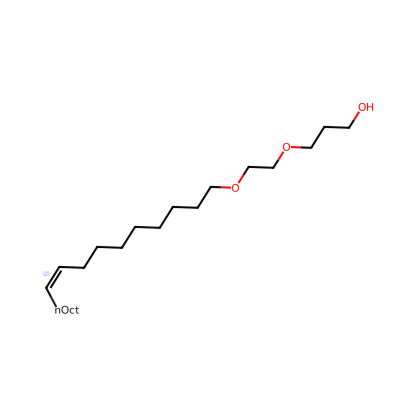 CCCCCCCC/C=C\CCCCCCCCOCCOCCCO